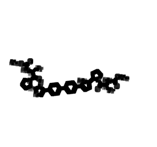 COC(=O)N[C@H](C(=O)N1CCCC1c1ccc(-c2ccc(-c3ccc(-c4cnc([C@@H]5CCCN5C(=O)[C@@H](NC(=O)OC)C(C)C)[nH]4)cc3)cc2)[nH]1)C(C)C